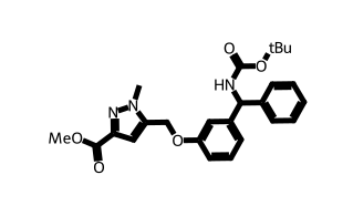 COC(=O)c1cc(COc2cccc(C(NC(=O)OC(C)(C)C)c3ccccc3)c2)n(C)n1